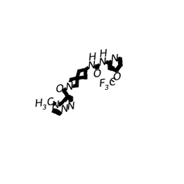 Cn1ccn2ncc(C(=O)N3CC4(CC(NC(=O)Nc5cc(OC(F)(F)F)ccn5)C4)C3)c12